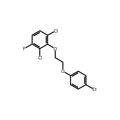 CCc1ccc(OCCOc2c(Cl)ccc(F)c2Cl)cc1